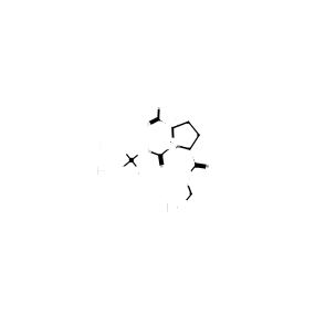 CCOC(=O)[C@@H]1CC[C@H](C(=O)O)N1C(=O)OC(C)(C)C